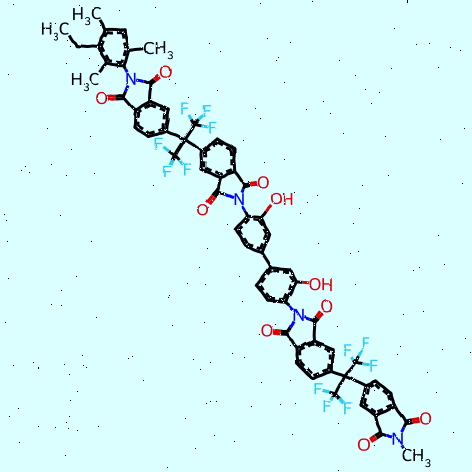 CCc1c(C)cc(C)c(N2C(=O)c3ccc(C(c4ccc5c(c4)C(=O)N(c4ccc(-c6ccc(N7C(=O)c8ccc(C(c9ccc%10c(c9)C(=O)N(C)C%10=O)(C(F)(F)F)C(F)(F)F)cc8C7=O)c(O)c6)cc4O)C5=O)(C(F)(F)F)C(F)(F)F)cc3C2=O)c1C